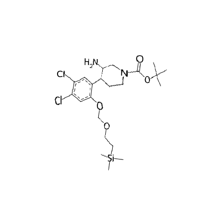 CC(C)(C)OC(=O)N1CCC(c2cc(Cl)c(Cl)cc2OCOCC[Si](C)(C)C)C(N)C1